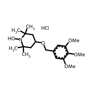 COc1cc(COC2CC(C)(C)N(O)C(C)(C)C2)cc(OC)c1OC.Cl